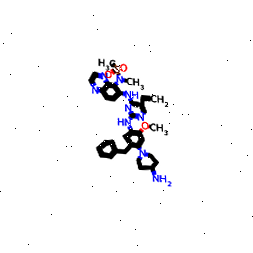 C=Cc1cnc(Nc2cc(Cc3ccccc3)c(N3CCC(N)CC3)cc2OC)nc1Nc1ccc2nccnc2c1N(C)S(C)(=O)=O